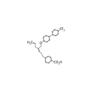 C=CCC(=CCCc1ccc(C(=O)O)cc1)COc1ccc(-c2ccc(C(F)(F)F)cc2)cc1